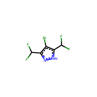 FC(F)c1n[nH]c(C(F)F)c1Br